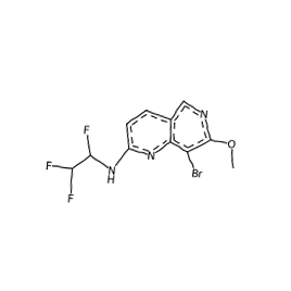 COc1ncc2ccc(NC(F)C(F)F)nc2c1Br